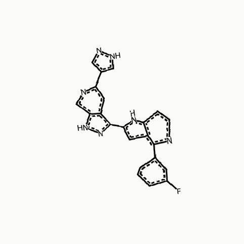 Fc1cccc(-c2nccc3[nH]c(-c4n[nH]c5cnc(-c6cn[nH]c6)cc45)cc23)c1